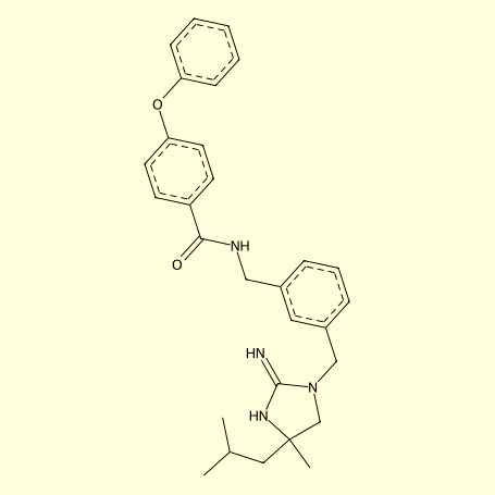 CC(C)CC1(C)CN(Cc2cccc(CNC(=O)c3ccc(Oc4ccccc4)cc3)c2)C(=N)N1